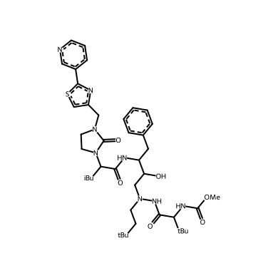 CCC(C)C(C(=O)NC(Cc1ccccc1)C(O)CN(CCC(C)(C)C)NC(=O)C(NC(=O)OC)C(C)(C)C)N1CCN(Cc2csc(-c3cccnc3)n2)C1=O